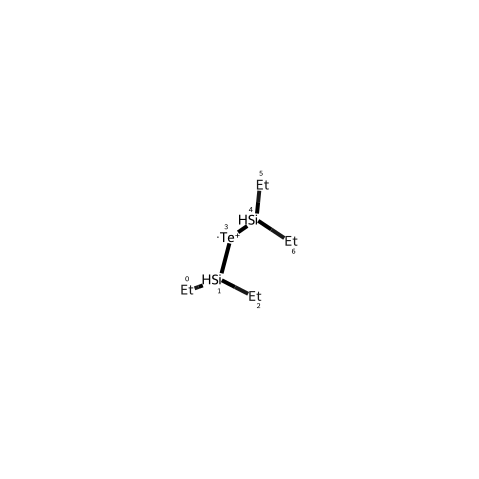 CC[SiH](CC)[Te+][SiH](CC)CC